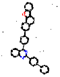 c1ccc(-c2ccc(-c3nc(-c4ccc(-c5ccc6c(ccc7c8ccccc8oc67)c5)cc4)c4ccccc4n3)cc2)cc1